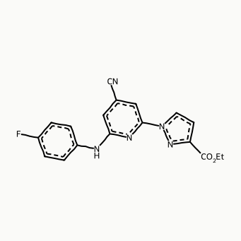 CCOC(=O)c1ccn(-c2cc(C#N)cc(Nc3ccc(F)cc3)n2)n1